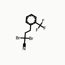 N#CC(Br)(Br)CCc1ccccc1C(F)(F)F